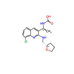 C[C@H](NC(=O)O)c1cc2cccc(Cl)c2nc1NC[C@@H]1CCCO1